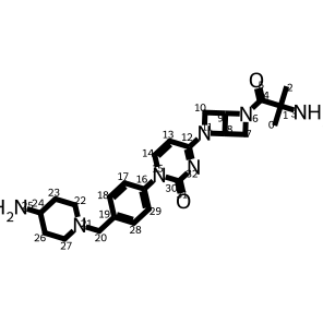 CC(C)(N)C(=O)N1CC2C1CN2c1ccn(-c2ccc(CN3CCC(N)CC3)cc2)c(=O)n1